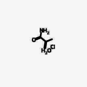 C=C(C)C(N)=O.O.[C]